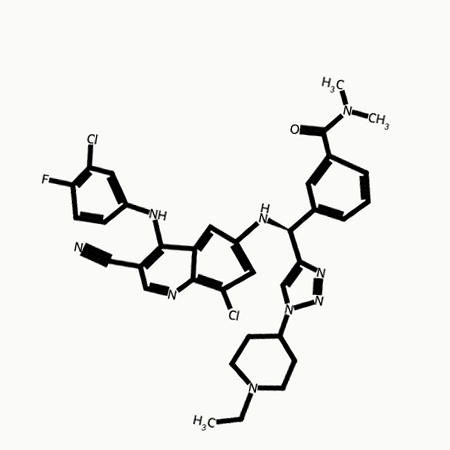 CCN1CCC(n2cc([C@@H](Nc3cc(Cl)c4ncc(C#N)c(Nc5ccc(F)c(Cl)c5)c4c3)c3cccc(C(=O)N(C)C)c3)nn2)CC1